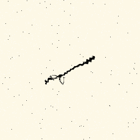 CCCCCCCCCCCCCCCCCCCC(=O)OCCCC(C)C